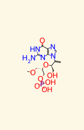 C=C([C@@H](CO)O[C@@H](COC)COP(=O)(O)O)n1cnc2c(=O)[nH]c(N)nc21